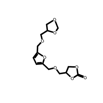 O=C1OCC(COCc2ccc(COCC3COCO3)o2)O1